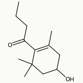 CCCC(=O)C1=C(C)CC(O)CC1(C)C